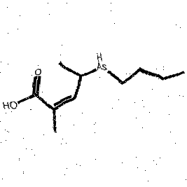 CCCC[AsH]C(C)C=C(C)C(=O)O